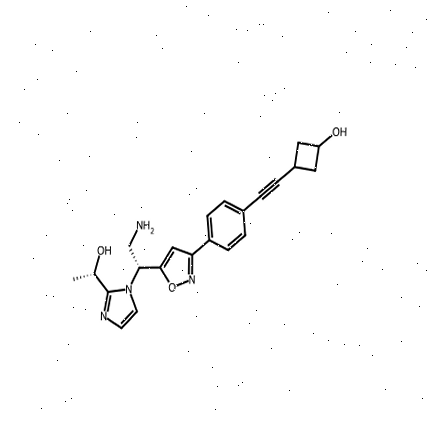 C[C@H](O)c1nccn1[C@H](CN)c1cc(-c2ccc(C#CC3CC(O)C3)cc2)no1